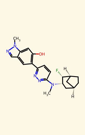 CN(c1ccc(-c2cc3cnn(C)c3cc2O)nn1)[C@H]1C[C@@H]2CC[C@@H](C2)[C@H]1F